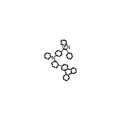 c1ccc(-c2nc3ccccn3c2-c2ccc(N(c3ccccc3)c3cccc(-c4ccc5c6ccccc6c6ccccc6c5c4)c3)cc2)cc1